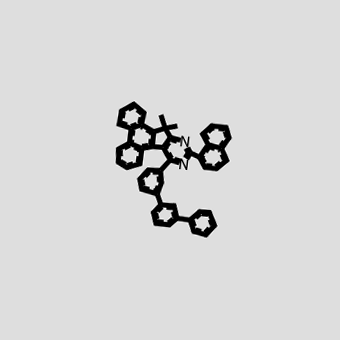 CC1(C)c2nc(-c3cccc4ccccc34)nc(-c3cccc(-c4cccc(-c5ccccc5)c4)c3)c2-c2c1c1ccccc1c1ccccc21